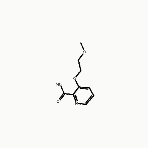 COCCOc1cccnc1C(=O)O